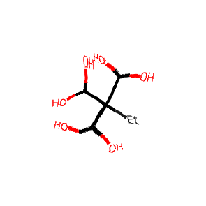 CCC(C(O)O)(C(O)O)C(O)O